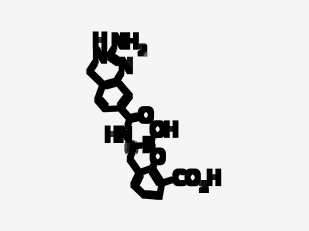 NC1=Nc2cc(C(=O)N[C@H]3Cc4cccc(C(=O)O)c4OB3O)ccc2CN1